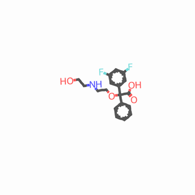 O=C(O)C(OCCNCCO)(c1ccccc1)c1cc(F)cc(F)c1